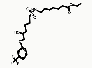 CCOC(=O)CCCCCCNS(=O)(=O)CCCCC(O)COc1cccc(C(F)(F)F)c1